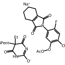 CC(=O)OOc1cc(N2C(=O)C3=C(CCCC3)C2=O)c(F)cc1Cl.CCCC(C)C1(CC)C(=O)N=C([O-])NC1=O.[Na+]